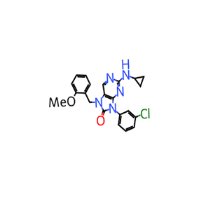 COc1ccccc1Cn1c(=O)n(-c2cccc(Cl)c2)c2nc(NC3CC3)ncc21